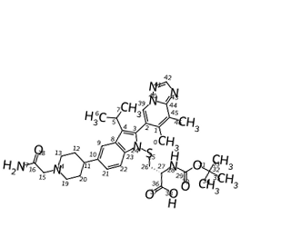 Cc1c(-c2c(C(C)C)c3cc(C4CCN(CC(N)=O)CC4)ccc3n2SC[C@H](NC(=O)OC(C)(C)C)C(=O)O)cn2ncnc2c1C